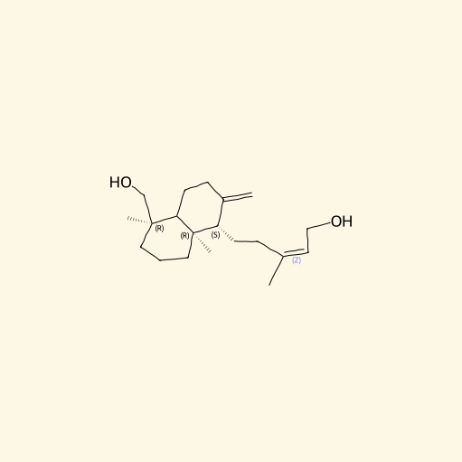 C=C1CCC2[C@](C)(CO)CCC[C@]2(C)[C@H]1CC/C(C)=C\CO